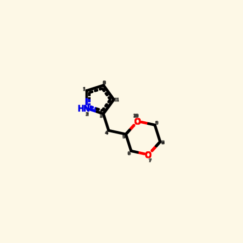 c1c[nH]c(CC2COCCO2)c1